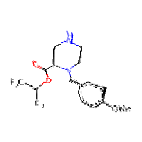 COc1ccc(CN2CCNCC2C(=O)OC(C(F)(F)F)C(F)(F)F)cc1